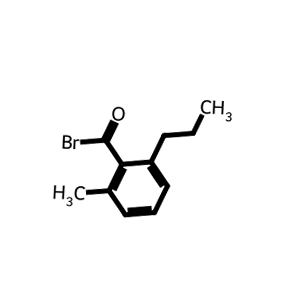 CCCc1cccc(C)c1C(=O)Br